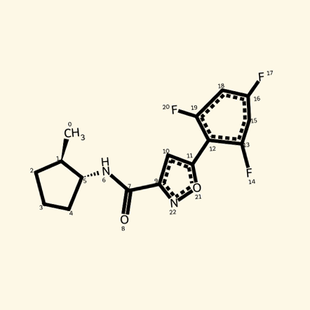 C[C@@H]1CCC[C@H]1NC(=O)c1cc(-c2c(F)cc(F)cc2F)on1